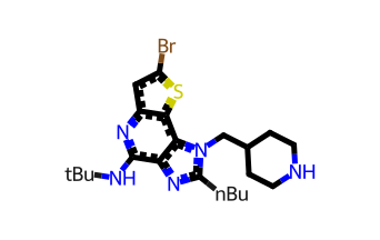 CCCCc1nc2c(NC(C)(C)C)nc3cc(Br)sc3c2n1CC1CCNCC1